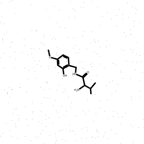 COc1ccc(CNC(=O)C(N)C(C)C)c(O)c1